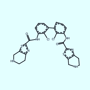 O=C(Nc1cccc(-c2cccc(NC(=O)c3nc4c(s3)CNCC4)c2Cl)c1Cl)c1nc2c(s1)CNCC2